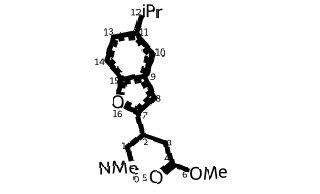 CNCC(CC(=O)OC)c1cc2cc(C(C)C)ccc2o1